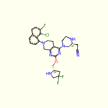 N#CC[C@H]1CN(c2nc(OC[C@@H]3CC(F)(F)CN3)nc3c2CCN(c2cccc4ccc(F)c(Cl)c24)C3)CCN1